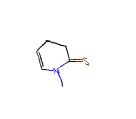 CN1C=CCCC1=S